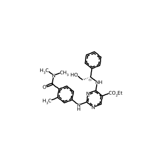 CCOC(=O)c1cnc(Nc2ccc(C(=O)N(C)C)c(C)c2)nc1N[C@H](CO)c1ccccc1